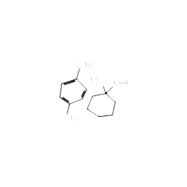 OC1(O)CCCCC1.Oc1ccc(O)cc1